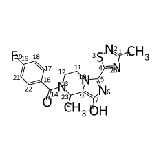 Cc1nsc(-c2nc(O)c3n2CCN(C(=O)c2ccc(F)cc2)C3C)n1